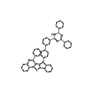 c1ccc(C2=NC(c3ccccc3)NC(c3cccc(-c4ccc(-n5c6ccccc6c6sc7c8ccccc8nc(-c8ccccc8)c7c65)cc4)c3)=N2)cc1